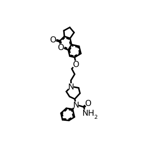 NC(=O)N(c1ccccc1)C1CCN(CCCOc2ccc3c4c(c(=O)oc3c2)CCC4)CC1